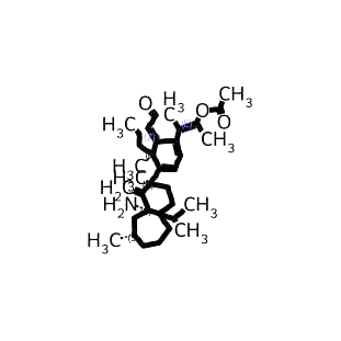 C=C1[C@@](C)(C2=CC=C(/C(C)=C(\C)OC(C)=O)/C(=C\C=O)[C@]2(C)CCC)CCC2(C(C)C)CCC[C@H](C)C[C@@]12N